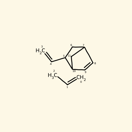 C=CC.C=CC1CC2C=CC1C2